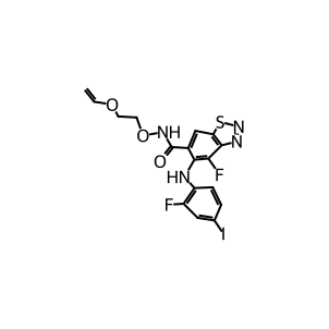 C=COCCONC(=O)c1cc2snnc2c(F)c1Nc1ccc(I)cc1F